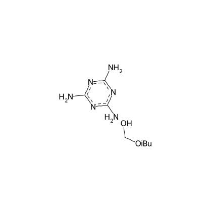 CC(C)COCO.Nc1nc(N)nc(N)n1